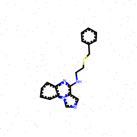 c1ccc(CSCCNc2nc3ccccc3n3cncc23)cc1